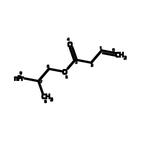 C=CCC(=O)OCC(C)CCC